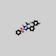 CC(C)N1C(=O)N(S(=O)(=O)c2ccccc2)CC1c1cccc(-c2cc(F)ccc2Cl)c1